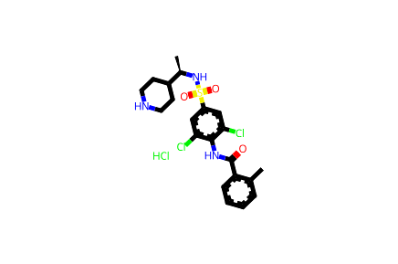 Cc1ccccc1C(=O)Nc1c(Cl)cc(S(=O)(=O)N[C@H](C)C2CCNCC2)cc1Cl.Cl